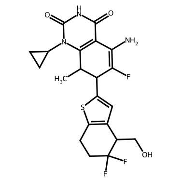 CC1c2c(c(=O)[nH]c(=O)n2C2CC2)C(N)=C(F)C1c1cc2c(s1)CCC(F)(F)C2CO